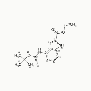 CCOC(=O)c1cc2c(NC(=O)OC(C)(C)C)cccc2[nH]1